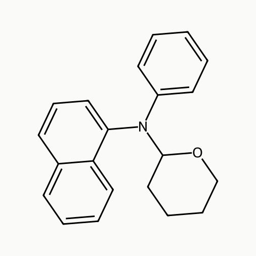 c1ccc(N(c2cccc3ccccc23)C2CCCCO2)cc1